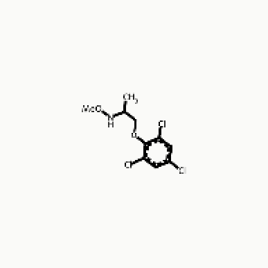 CONC(C)COc1c(Cl)cc(Cl)cc1Cl